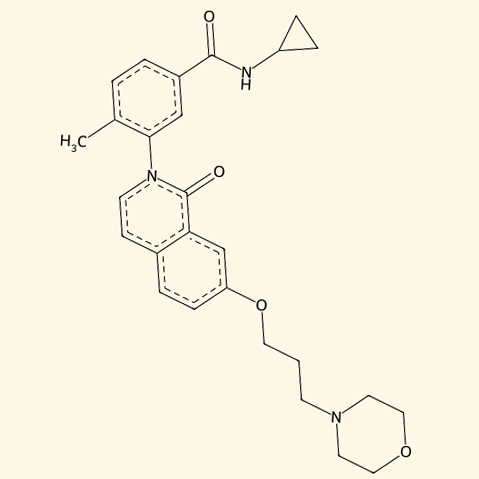 Cc1ccc(C(=O)NC2CC2)cc1-n1ccc2ccc(OCCCN3CCOCC3)cc2c1=O